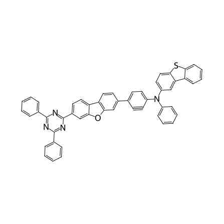 c1c(-c2ccc3c(c2)oc2cc(-c4nc(-c5ccccc5)nc(-c5ccccc5)n4)ccc23)ccc(N(c2ccccc2)c2ccc3sc4ccccc4c3c2)c#1